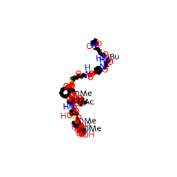 CCC(C)[C@H](NC(=O)CCCCCN1C(=O)CC(C)C1=O)C(=O)C[C@@H](C)C(=O)Nc1ccc(COC(=O)NCCCC(=O)CCC(C)(C)SSC/C=C2/C3=C(CC(=O)OC)C(=O)C[C@@]2(O)C#C/C=C\C#C[C@@H]3OC2OC(C)C(NOC3CC(O)C(SC(=O)c4c(C)c(I)c(OC5OC(C)C(O)C(OC)C5O)c(C)c4OC)C(C)O3)C(O)C2OC2CC(C)C(CC(C)=O)CO2)cc1